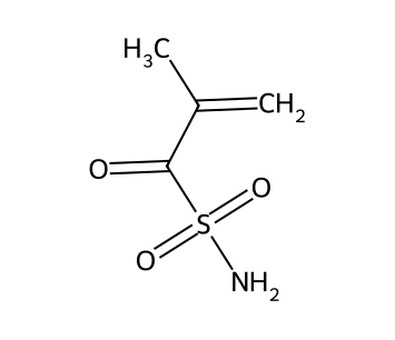 C=C(C)C(=O)S(N)(=O)=O